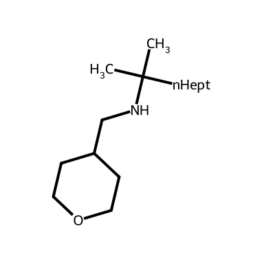 CCCCCCCC(C)(C)NCC1CCOCC1